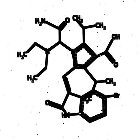 CCN(CC)C(C(N)=O)n1c(C=C2C(=O)Nc3ccc(Br)cc32)c(C(C)C)c(C(=O)O)c1C(C)C